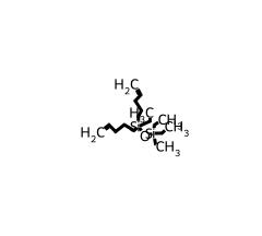 C=CCCC[Si](CC)(CCCC=C)O[Si](CC)(CC)CC